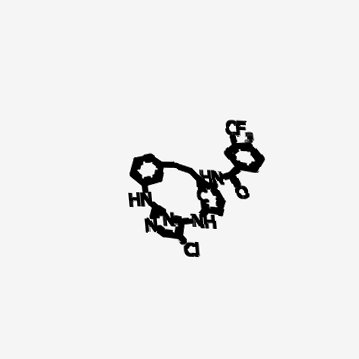 O=C(Nc1ccc2cc1CCc1cccc(c1)Nc1ncc(Cl)c(n1)N2)c1cccc(C(F)(F)F)c1